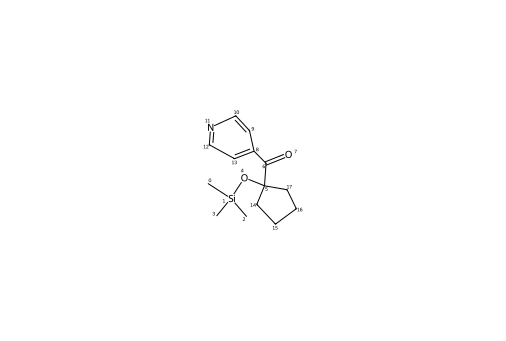 C[Si](C)(C)OC1(C(=O)c2ccncc2)CCCC1